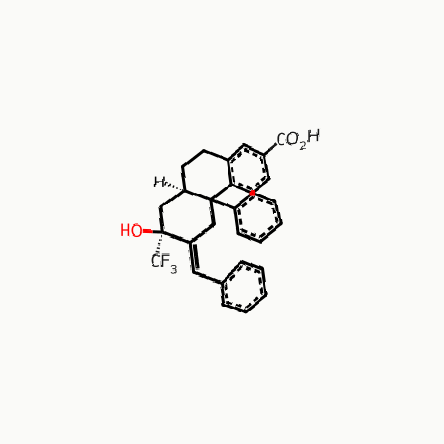 O=C(O)c1ccc2c(c1)CC[C@@H]1C[C@@](O)(C(F)(F)F)/C(=C/c3ccccc3)CC21c1ccccc1